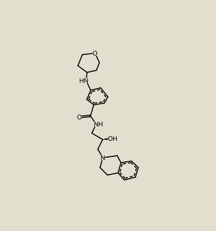 O=C(NC[C@@H](O)CN1CCc2ccccc2C1)c1cccc(NC2CCOCC2)c1